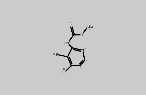 CC(C)(C)OC(=O)Nc1nccc(Cl)c1F